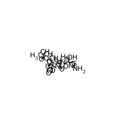 CSC1S[C@@H]2C(NC(=O)C(=NO)c3csc(N)n3)C(=O)N2CC1(C(=O)OCOC(=O)C(C)(C)C)C1CCOCO1